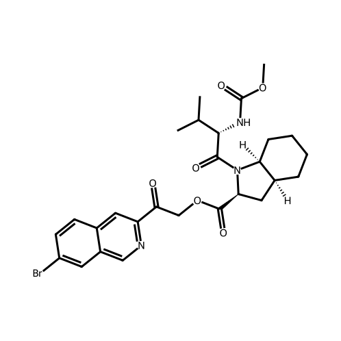 COC(=O)N[C@H](C(=O)N1[C@H](C(=O)OCC(=O)c2cc3ccc(Br)cc3cn2)C[C@@H]2CCCC[C@@H]21)C(C)C